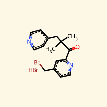 Br.CC(C)(Cc1ccncc1)C(=O)c1cc(CBr)ccn1